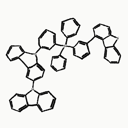 c1ccc([Si](c2ccccc2)(c2cccc(-c3cccc4sc5ccccc5c34)c2)c2cccc(-n3c4ccccc4c4cc(-n5c6ccccc6c6ccccc65)ccc43)c2)cc1